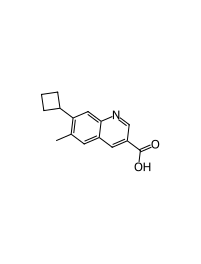 Cc1cc2cc(C(=O)O)cnc2cc1C1CCC1